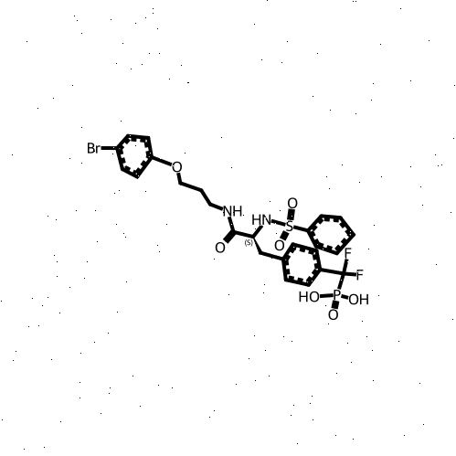 O=C(NCCCOc1ccc(Br)cc1)[C@H](Cc1ccc(C(F)(F)P(=O)(O)O)cc1)NS(=O)(=O)c1ccccc1